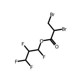 O=C(OC(F)C(F)C(F)F)C(Br)CBr